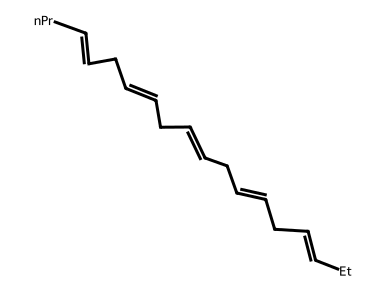 [CH2]CCC=CCC=CCC=CCC=CCC=CCC